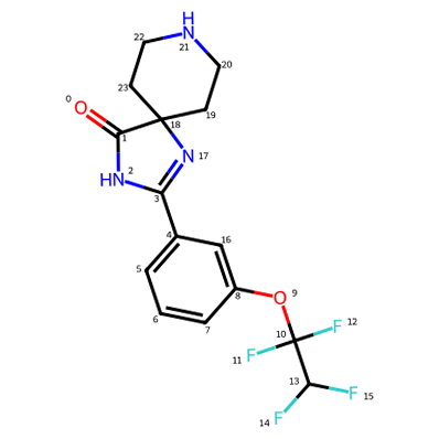 O=C1NC(c2cccc(OC(F)(F)C(F)F)c2)=NC12CCNCC2